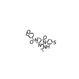 CSc1ccc(-n2c(NC(C)C)nc3c(c2=O)CCN(C(=O)c2ccc4occc4c2)C3)cc1